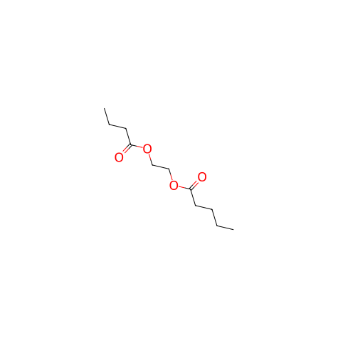 CCCCC(=O)OCCOC(=O)CCC